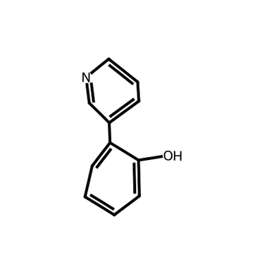 Oc1ccccc1-c1cccnc1